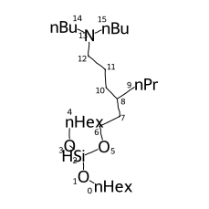 CCCCCCO[SiH](OCCCCCC)OCCC(CCC)CCCN(CCCC)CCCC